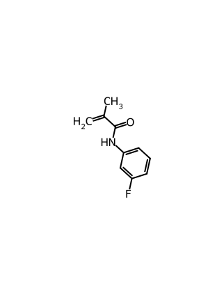 C=C(C)C(=O)Nc1cccc(F)c1